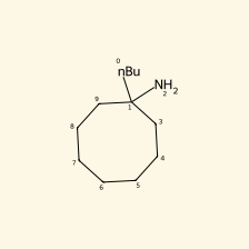 CCCCC1(N)CCCCCCC1